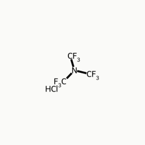 Cl.FC(F)(F)N(C(F)(F)F)C(F)(F)F